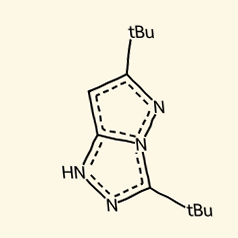 CC(C)(C)c1cc2[nH]nc(C(C)(C)C)n2n1